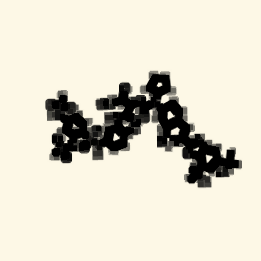 CCC(C)(C)c1cc(C(C)(C)CC)c2oc(/C(N)=C/c3ccc(N(C(=O)OC(C(=O)Nc4cc(NS(=O)(=O)c5ccc(NS(C)(=O)=O)cc5NS(C)(=O)=O)ccc4Cl)C(=O)C(C)(C)C)C4CCCC4)cc3C)nc2c1